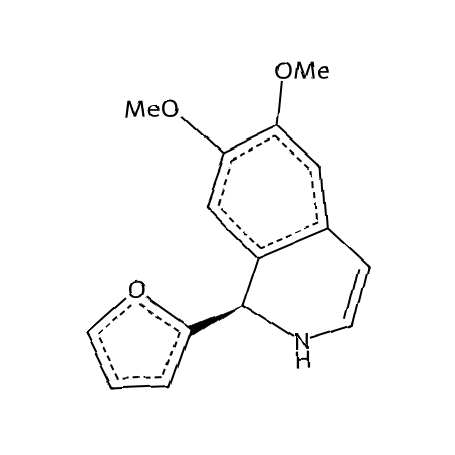 COc1cc2c(cc1OC)[C@H](c1ccco1)NC=C2